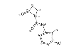 Cc1c(Cl)cccc1NC(=O)N1CCC1=O